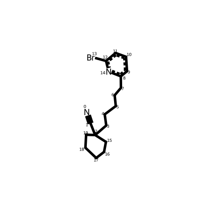 N#CC1(CCCCCc2cccc(Br)n2)CCCCC1